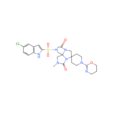 CN1CC23CN(S(=O)(=O)c4cc5cc(Cl)ccc5[nH]4)CC(=O)N2CC2(CCN(C4=NCCCO4)CC2)N3C1=O